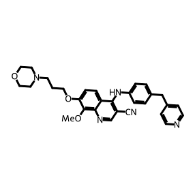 COc1c(OCCCN2CCOCC2)ccc2c(Nc3ccc(Cc4ccncc4)cc3)c(C#N)cnc12